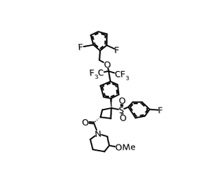 COC1CCCN(C(=O)[C@H]2C[C@@](c3ccc(C(OCc4c(F)cccc4F)(C(F)(F)F)C(F)(F)F)cc3)(S(=O)(=O)c3ccc(F)cc3)C2)C1